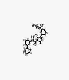 CC1=NN(c2cccc(C(=O)OC(C)C)c2)C(=O)C1C(=O)Nc1cccc(-c2cnccn2)c1